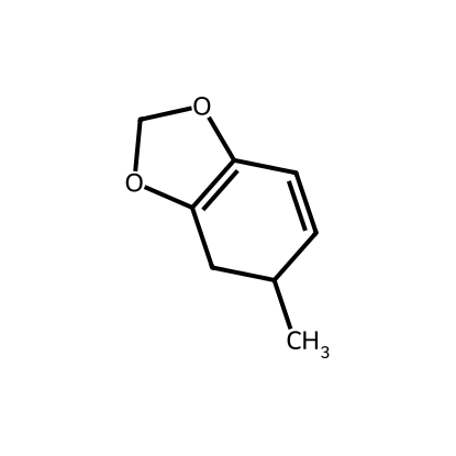 CC1C=CC2=C(C1)OCO2